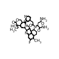 CC[C@@]1(O)C(=O)OCc2c1cc1n(c2=O)Cc2c-1nc1cc(F)c(C)c3c1c2[C@@H](N(C(=O)Cc1ccncc1)[C@@H](CC(N)=O)C(N)=O)CC3